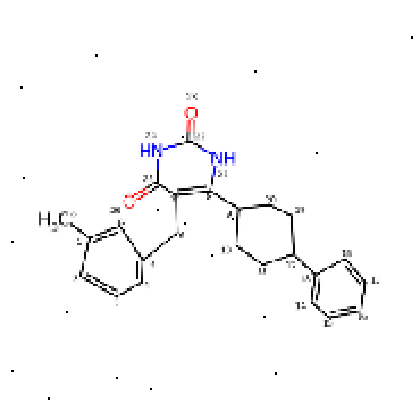 Cc1cccc(Cc2c(C3CCC(c4ccccc4)CC3)[nH]c(=O)[nH]c2=O)c1